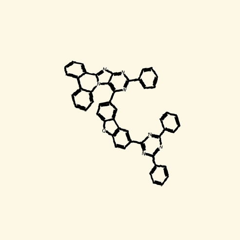 c1ccc(-c2nc(-c3ccccc3)nc(-c3ccc4oc5ccc(-c6nc(-c7ccccc7)nc7nc8c9ccccc9c9ccccc9n8c67)cc5c4c3)n2)cc1